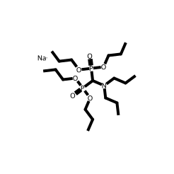 CCCOP(=O)(OCCC)C(N(CCC)CCC)P(=O)(OCCC)OCCC.[Na]